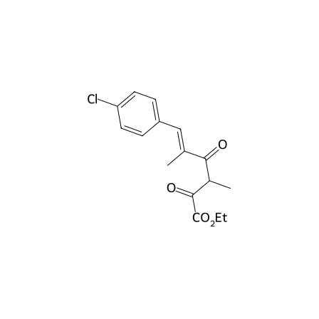 CCOC(=O)C(=O)C(C)C(=O)/C(C)=C/c1ccc(Cl)cc1